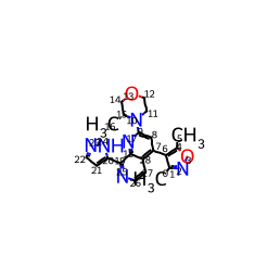 Cc1noc(C)c1-c1cc(N2CCOC[C@H]2C)nc2c(-c3ccn[nH]3)nccc12